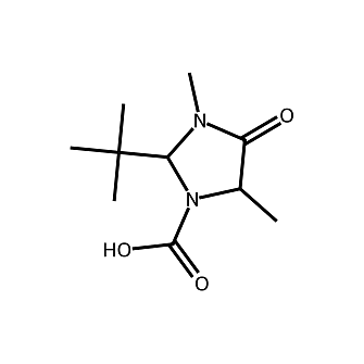 CC1C(=O)N(C)C(C(C)(C)C)N1C(=O)O